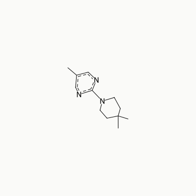 Cc1cnc(N2CCC(C)(C)CC2)nc1